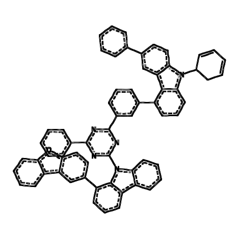 C1=CCC(n2c3ccc(-c4ccccc4)cc3c3c(-c4cccc(-c5nc(-c6ccccc6)nc(-n6c7ccccc7c7cccc(-c8ccc9oc%10ccccc%10c9c8)c76)n5)c4)cccc32)C=C1